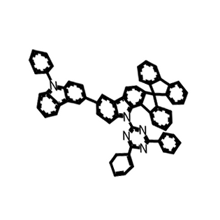 C1=CCCC(c2nc(-c3ccccc3)nc(-n3c4ccc(-c5ccc6c(c5)c5ccccc5n6-c5ccccc5)cc4c4ccc5c(c43)-c3ccccc3C53c4ccccc4-c4ccccc43)n2)=C1